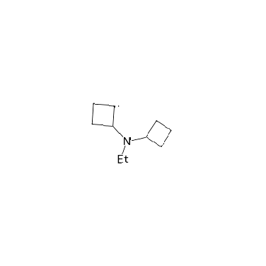 CCN(C1[CH]CC1)C1CCC1